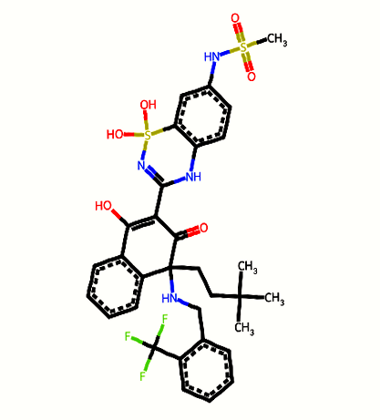 CC(C)(C)CCC1(NCc2ccccc2C(F)(F)F)C(=O)C(C2=NS(O)(O)c3cc(NS(C)(=O)=O)ccc3N2)=C(O)c2ccccc21